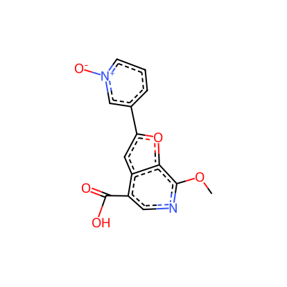 COc1ncc(C(=O)O)c2cc(-c3ccc[n+]([O-])c3)oc12